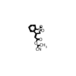 CC(C#N)OC(=O)/C=C1\CS(=O)(=O)c2ccccc21